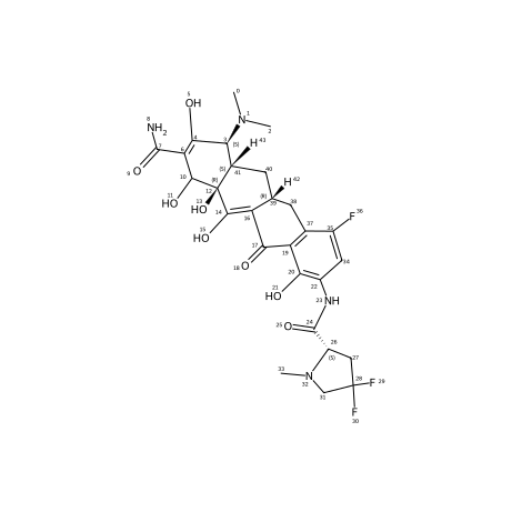 CN(C)[C@@H]1C(O)=C(C(N)=O)C(O)[C@@]2(O)C(O)=C3C(=O)c4c(O)c(NC(=O)[C@@H]5CC(F)(F)CN5C)cc(F)c4C[C@H]3C[C@@H]12